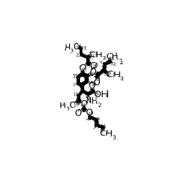 CCCCCOC(=O)OC(C)CC(c1ccc(OC(=O)C(C)CCC)c(OC(=O)C(C)CCC)c1)[C@H](N)C(=O)O